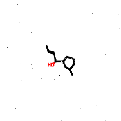 CC=CC(O)C1CCCC(C)C1